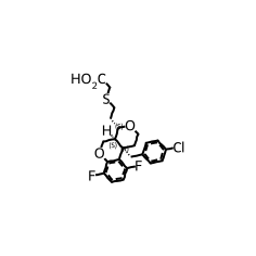 O=C(O)CSCC[C@@H]1OCC[C@@]2(Cc3ccc(Cl)cc3)c3c(F)ccc(F)c3OC[C@@H]12